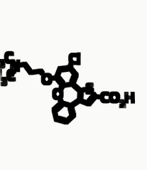 CN(C)CCCOc1cc(Cl)cc2c1Oc1ccccc1-c1cc(C(=O)O)sc1-2